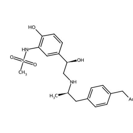 CC(=O)Cc1ccc(C[C@@H](C)NC[C@H](O)c2ccc(O)c(NS(C)(=O)=O)c2)cc1